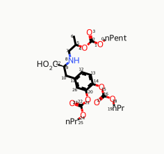 CCCCCOC(=O)OC(C)CN[C@@H](Cc1ccc(OC(=O)OCCC)c(OC(=O)OCCC)c1)C(=O)O